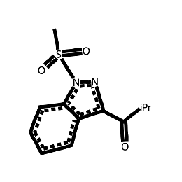 CC(C)C(=O)c1nn(S(C)(=O)=O)c2ccccc12